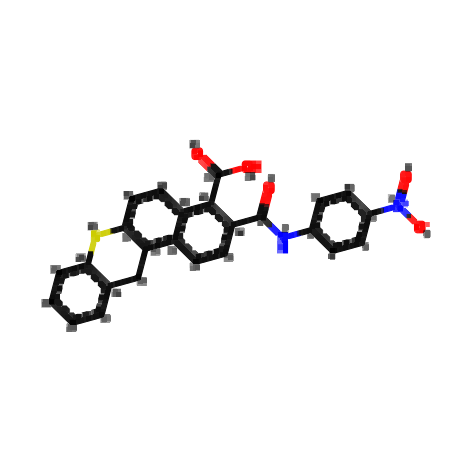 O=C(Nc1ccc([N+](=O)[O-])cc1)c1ccc2c3c(ccc2c1C(=O)O)Sc1ccccc1C3